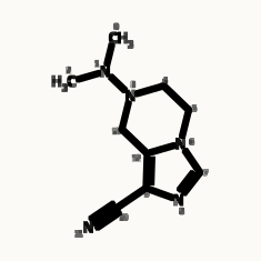 CN(C)N1CCn2cnc(C#N)c2C1